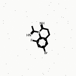 CC(=N)N1C(=N)CCc2cc(Br)cc(F)c21